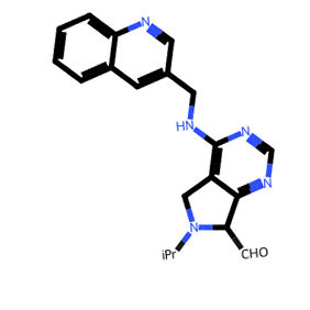 CC(C)N1Cc2c(NCc3cnc4ccccc4c3)ncnc2C1C=O